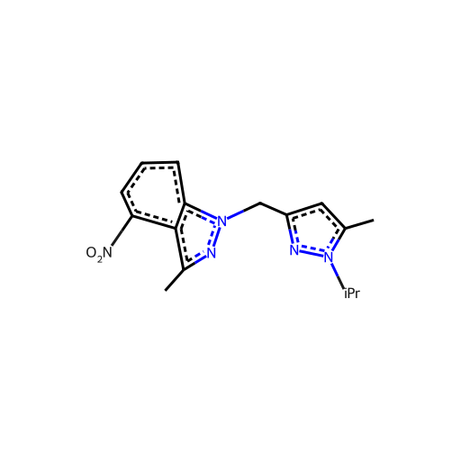 Cc1nn(Cc2cc(C)n(C(C)C)n2)c2cccc([N+](=O)[O-])c12